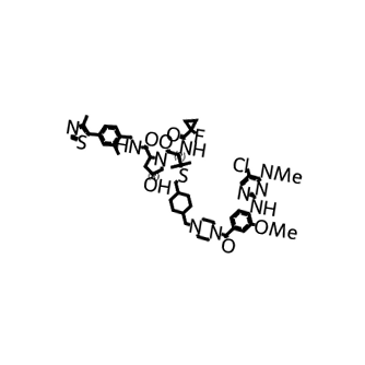 CNc1nc(Nc2ccc(C(=O)N3CCN(CC4CCC(CSC(C)(C)[C@H](NC(=O)C5(F)CC5)C(=O)N5C[C@H](O)CC5C(=O)NCc5ccc(-c6scnc6C)cc5C)CC4)CC3)cc2OC)ncc1Cl